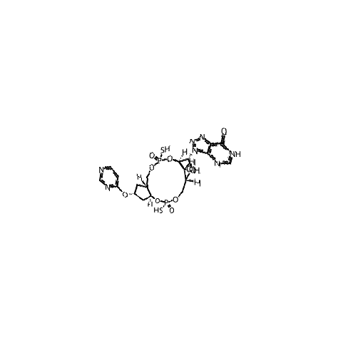 O=c1[nH]cnc2c1nnn2[C@@H]1O[C@@H]2COP(=O)(S)O[C@H]3C[C@H](Oc4ccncn4)C[C@@H]3COP(=O)(S)O[C@@H]1[C@@H]2O